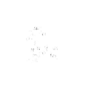 CC(C)[C@H](N)C(=O)Oc1nc(SCc2c(Cl)cncc2Cl)nc2c1CCC2